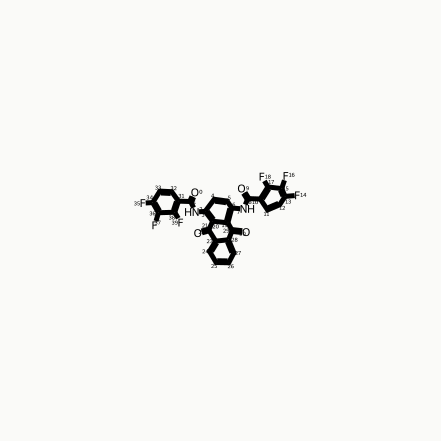 O=C(Nc1ccc(NC(=O)c2ccc(F)c(F)c2F)c2c1C(=O)c1ccccc1C2=O)c1ccc(F)c(F)c1F